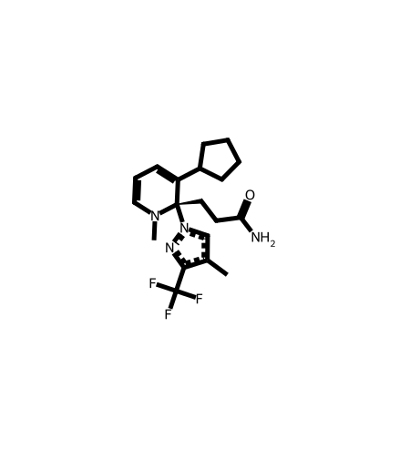 Cc1cn([C@@]2(CCC(N)=O)C(C3CCCC3)=CC=CN2C)nc1C(F)(F)F